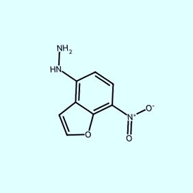 NNc1ccc([N+](=O)[O-])c2occc12